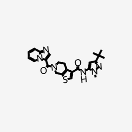 Cn1nc(C(C)(C)C)cc1NC(=O)c1csc2c1CCN(C(=O)c1cnc3ccccn13)C2